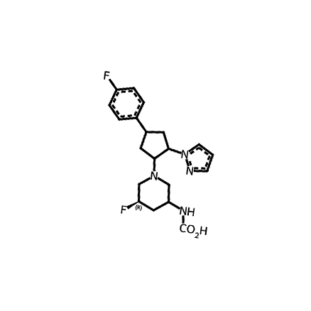 O=C(O)NC1C[C@@H](F)CN(C2CC(c3ccc(F)cc3)CC2n2cccn2)C1